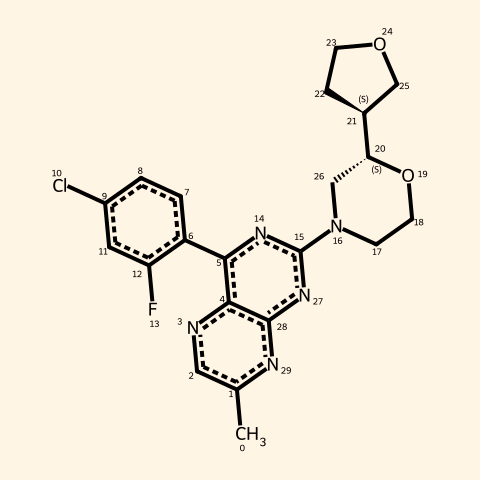 Cc1cnc2c(-c3ccc(Cl)cc3F)nc(N3CCO[C@@H]([C@H]4CCOC4)C3)nc2n1